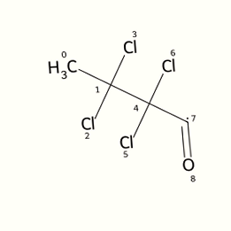 CC(Cl)(Cl)C(Cl)(Cl)[C]=O